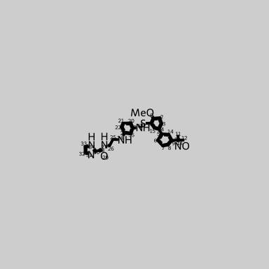 COc1ccc(-c2cccc(C(C)(C)N=O)c2)cc1SNc1cccc(NCCNC(=O)c2ncc[nH]2)c1